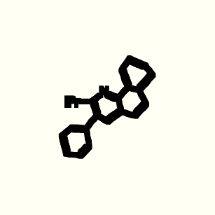 CC(C)c1nc2c(ccc3ccccc32)cc1-c1ccccc1